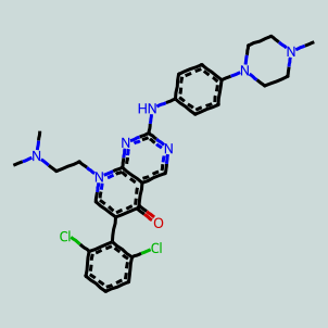 CN(C)CCn1cc(-c2c(Cl)cccc2Cl)c(=O)c2cnc(Nc3ccc(N4CCN(C)CC4)cc3)nc21